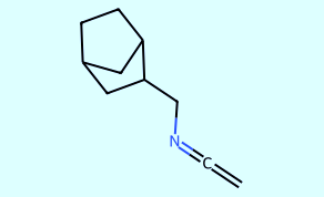 C=C=NCC1CC2CCC1C2